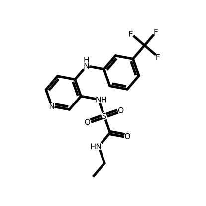 CCNC(=O)S(=O)(=O)Nc1cnccc1Nc1cccc(C(F)(F)F)c1